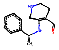 C[C@H](NC1=C(C=O)CCNC1)c1ccccc1